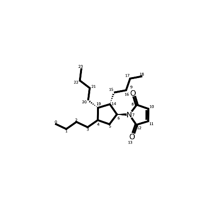 CCCCC1C[C@H](N2C(=O)C=CC2=O)[C@@H](CCCC)[C@H]1CCCC